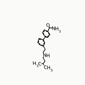 CC(C)CCNCCc1cccc(-c2ccc(C(N)=O)cc2)c1